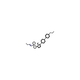 CC/C=C/C(=O)Oc1ccc(-c2ccc(-c3ccc(CCC)cc3)cc2)s1